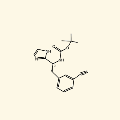 CC(C)(C)OC(=O)N[C@@H](Cc1cccc(C#N)c1)c1ncc[nH]1